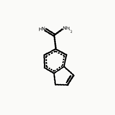 N=C(N)c1ccc2c(c1)C=CC2